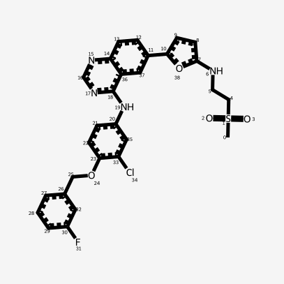 CS(=O)(=O)CCNc1ccc(-c2ccc3ncnc(Nc4ccc(OCc5cccc(F)c5)c(Cl)c4)c3c2)o1